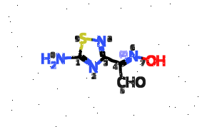 Nc1nc(/C(C=O)=N/O)ns1